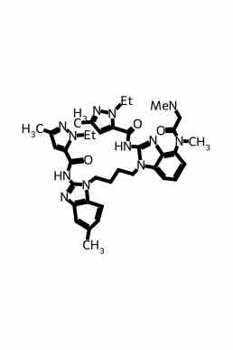 CCn1nc(C)cc1C(=O)Nc1nc2cc(C)ccc2n1CCCCn1c(NC(=O)c2cc(C)nn2CC)nc2c(N(C)C(=O)CNC)cccc21